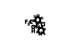 OC(c1cnccc1Cl)c1ccccc1C(F)(F)F